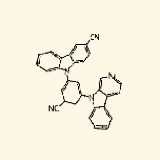 N#Cc1ccc2c(c1)c1ccccc1n2C1=CC(C#N)CC(n2c3ccccc3c3ccncc32)=C1